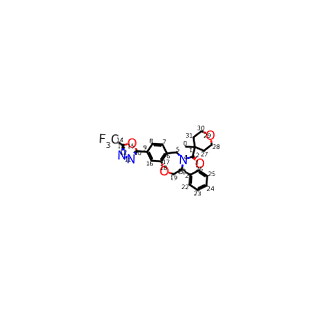 CC1(C(=O)N2Cc3ccc(-c4nnc(C(F)(F)F)o4)cc3OC[C@@H]2c2ccccc2)CCOCC1